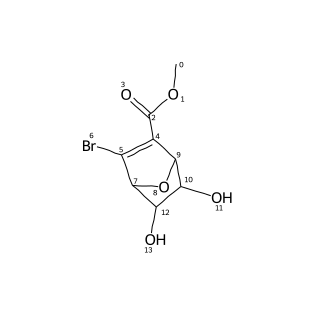 COC(=O)C1=C(Br)C2OC1C(O)C2O